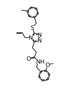 C=CCn1c(CCC(=O)NCc2ccccc2OC)nnc1SCc1cccc(C)c1